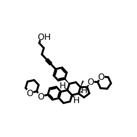 C[C@]12C[C@H](c3ccc(C#CCCCO)cc3)[C@@H]3c4ccc(OC5CCCCO5)cc4CC[C@H]3[C@@H]1CC[C@@H]2OC1CCCCO1